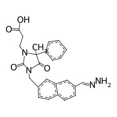 CC1(c2ccccc2)C(=O)N(Cc2ccc3ccc(C=NN)cc3c2)C(=O)N1CCC(=O)O